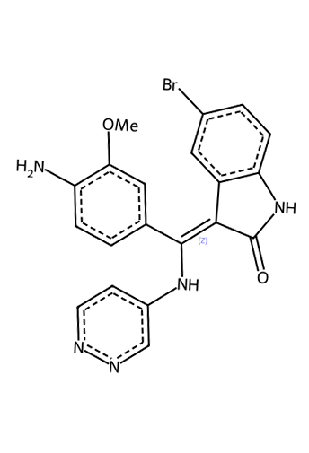 COc1cc(/C(Nc2ccnnc2)=C2/C(=O)Nc3ccc(Br)cc32)ccc1N